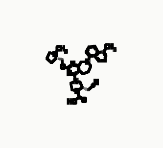 Cc1cccc2c(N3CCCc4c(nc(OC[C@@H]5CCCN5C)nc4N4CCN(C(=O)O)[C@@H](CC#N)C4)C3)cccc12